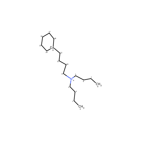 CCCCN(CCCC)CCC[CH2][Ga]1[CH2]CCC[CH2]1